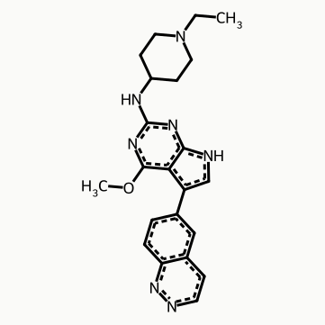 CCN1CCC(Nc2nc(OC)c3c(-c4ccc5nnccc5c4)c[nH]c3n2)CC1